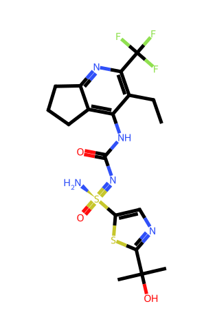 CCc1c(C(F)(F)F)nc2c(c1NC(=O)N=[S@@](N)(=O)c1cnc(C(C)(C)O)s1)CCC2